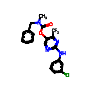 CN(Cc1ccccc1)C(=O)Oc1cnc(Nc2cccc(Cl)c2)nc1C(F)(F)F